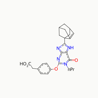 CCCn1c(Oc2ccc(CC(=O)O)cc2)nc2nc(C34CC5C=C3CC(C5)C4)[nH]c2c1=O